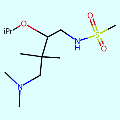 CC(C)OC(CNS(C)(=O)=O)C(C)(C)CN(C)C